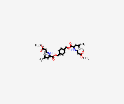 COC(=O)CCNC(CC(C)C)C(=O)OCC1CCC(COC(=O)C(CC(C)C)NCCC(=O)OC)CC1